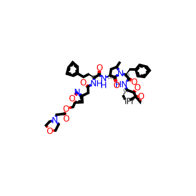 CC(C)C[C@H](NC(=O)[C@H](Cc1ccccc1)N1C(=O)[C@@H](NC(=O)[C@H](CCc2ccccc2)NC(=O)Cc2cc(COC(=O)CN3CCOCC3)on2)CC1C)C(=O)C1(C)CO1